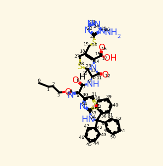 CCCCO/N=C(\C(=O)N[C@@H]1C(=O)N2C(C(=O)O)=C(CSc3nnnn3N)CS[C@@H]12)c1csc(NC(c2ccccc2)(c2ccccc2)c2ccccc2)n1